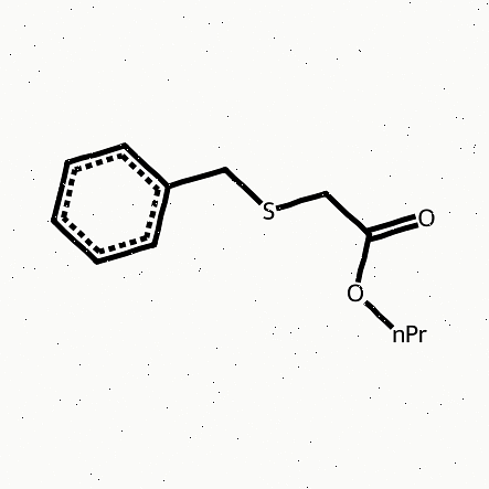 CCCOC(=O)CSCc1ccccc1